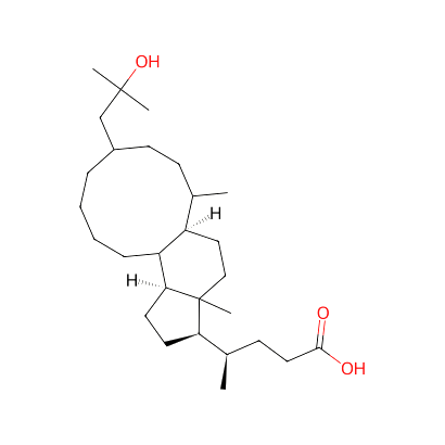 CC1CCC(CC(C)(C)O)CCCCC2[C@@H]1CCC1(C)[C@@H]([C@H](C)CCC(=O)O)CC[C@@H]21